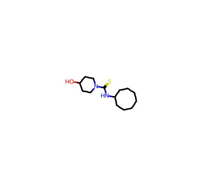 OC1CCN(C(=S)NC2CCCCCCC2)CC1